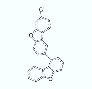 Clc1ccc2c(c1)oc1ccc(-c3cccc4oc5ccccc5c34)cc12